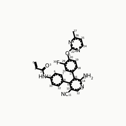 C=CC(=O)Nc1ccc(-c2c(C#N)cnc(N)c2-c2ccc(Oc3nccc(C)n3)c(F)c2)cc1